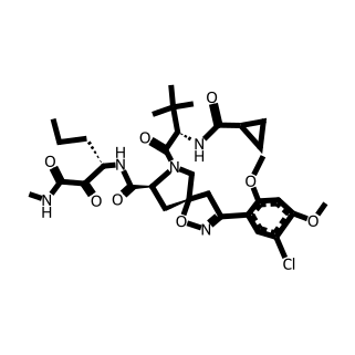 CCC[C@H](NC(=O)[C@@H]1C[C@]2(CC(c3cc(Cl)c(OC)cc3OC)=NO2)CN1C(=O)[C@@H](NC(=O)C1CC1)C(C)(C)C)C(=O)C(=O)NC